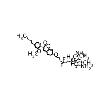 CCCCCc1ccc(-c2cc3ccc(OCCCC(F)(F)CCCOC(=O)C(CC(C)(C)N)C(C)(C)N)cc3oc2=O)c(OC)c1